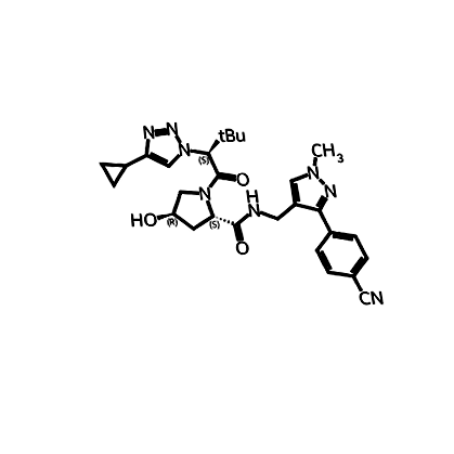 Cn1cc(CNC(=O)[C@@H]2C[C@@H](O)CN2C(=O)[C@@H](n2cc(C3CC3)nn2)C(C)(C)C)c(-c2ccc(C#N)cc2)n1